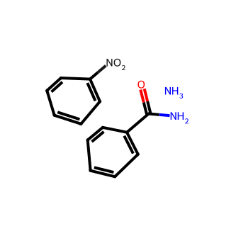 N.NC(=O)c1ccccc1.O=[N+]([O-])c1ccccc1